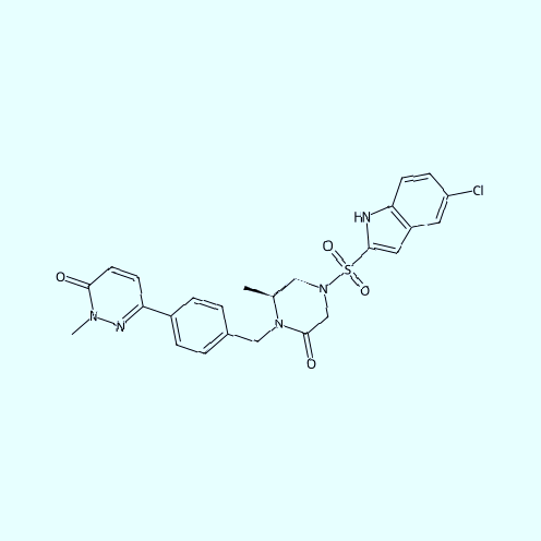 C[C@H]1CN(S(=O)(=O)c2cc3cc(Cl)ccc3[nH]2)CC(=O)N1Cc1ccc(-c2ccc(=O)n(C)n2)cc1